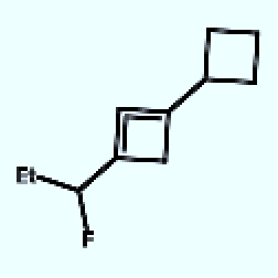 CCC(F)C1=C=C(C2CCC2)C1